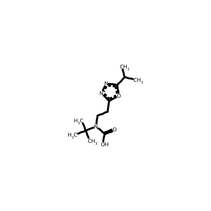 CC(C)c1nnc(CCN(C(=O)O)C(C)(C)C)o1